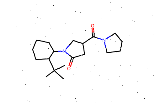 CC(C)(C)C1CCCCC1N1CC(C(=O)N2CCCC2)CC1=O